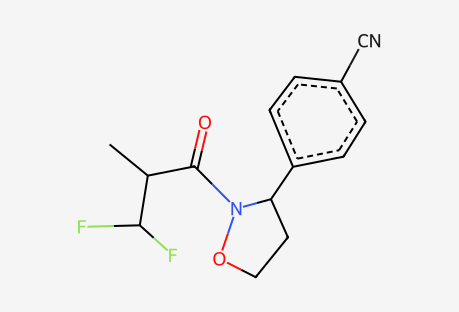 CC(C(=O)N1OCCC1c1ccc(C#N)cc1)C(F)F